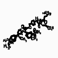 CPC(=O)CCC(=O)N[C@@H](CCC(=O)O)C(=O)Nc1ccc(COC(=O)N(c2ccc(C)c(S(N)(=O)=O)c2)c2nccc(N(C)c3ccc4c(C)n(C)nc4c3)n2)cc1